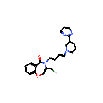 O=C1c2ccccc2OC=C(CCl)N1CCCCN1CCCC(c2ncccn2)C1